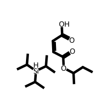 CC(C)[SiH](C(C)C)C(C)C.CCC(C)OC(=O)/C=C\C(=O)O